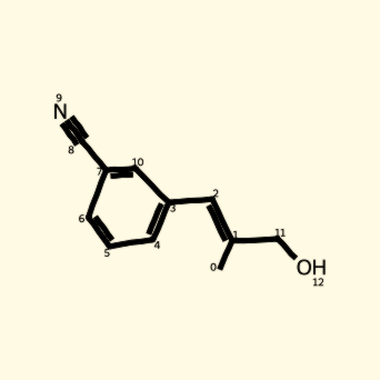 C/C(=C\c1cccc(C#N)c1)CO